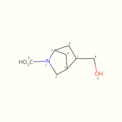 O=C(O)N1CC2CC1CC2CO